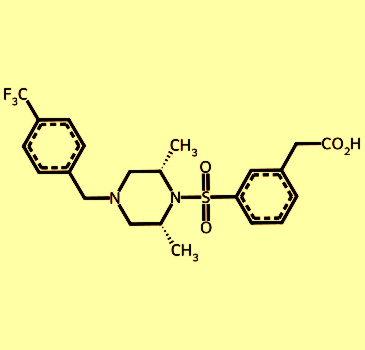 C[C@@H]1CN(Cc2ccc(C(F)(F)F)cc2)C[C@H](C)N1S(=O)(=O)c1cccc(CC(=O)O)c1